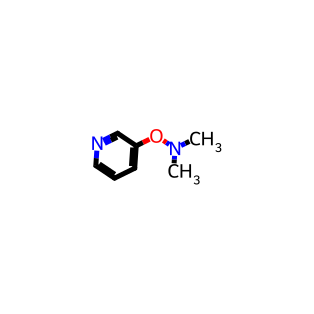 CN(C)Oc1cccnc1